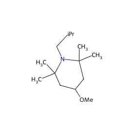 COC1CC(C)(C)N(CC(C)C)C(C)(C)C1